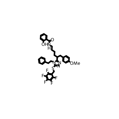 COc1ccc(CC(CCCCNC(=O)c2ccccc2O)c2nnc(SCc3c(F)c(F)c(F)c(F)c3F)n2CCc2ccccc2)cc1